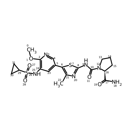 COc1ncc(-c2sc(NC(=O)N3CCC[C@H]3C(N)=O)nc2C)cc1NS(=O)(=O)C1CC1